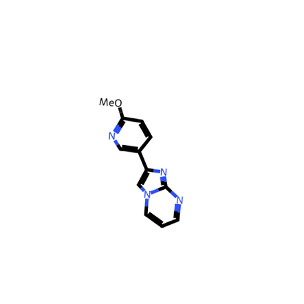 COc1ccc(-c2cn3cccnc3n2)cn1